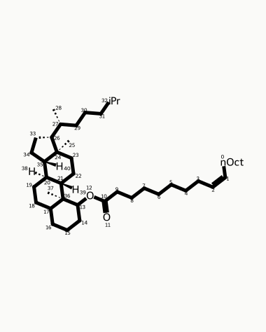 CCCCCCCC/C=C\CCCCCCCC(=O)OC1CCCC2CC[C@@H]3[C@H](CC[C@]4(C)[C@@H]([C@H](C)CCCC(C)C)CC[C@@H]34)[C@]21C